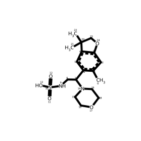 Cc1cc2c(cc1C(CNS(=O)(=O)O)N1CCOCC1)C(C)(C)CO2